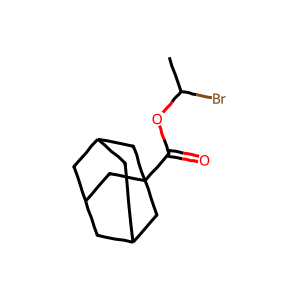 CC(Br)OC(=O)C12CC3CC(CC(C3)C1)C2